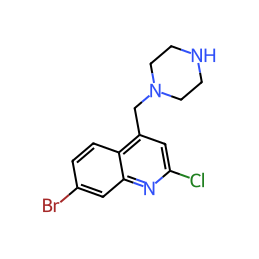 Clc1cc(CN2CCNCC2)c2ccc(Br)cc2n1